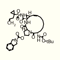 C=CCC1(S(=O)(=O)NC(=O)[C@@]23C[C@H]2/C=C\CCCCC[C@H](NC(=O)OC(C)(C)C)C(=O)N2C[C@H](OC(=O)N4Cc5ccccc5C4)C[C@H]2C(=O)N3)CC1